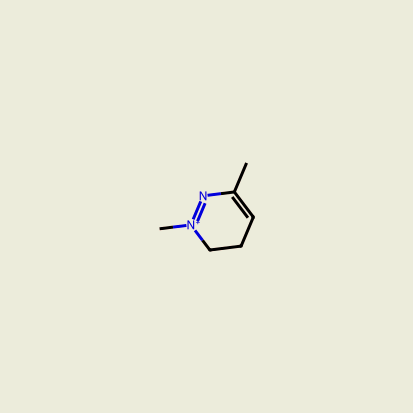 CC1=CCC[N+](C)=N1